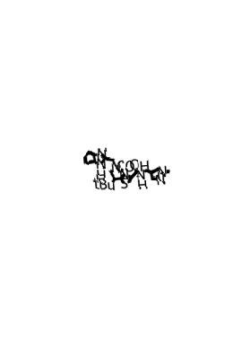 Cn1cc(CNC(=O)c2csc(C(CN(Cc3nc4ccccc4[nH]3)C(=O)O)C(C)(C)C)n2)cn1